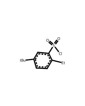 CCc1ccc(C(C)(C)C)cc1S(=O)(=O)Cl